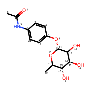 CC(=O)Nc1ccc(O[C@H]2OC(C)[C@@H](O)[C@H](O)C2O)cc1